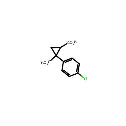 O=C(O)C1CC1(C(=O)O)c1ccc(Cl)cc1